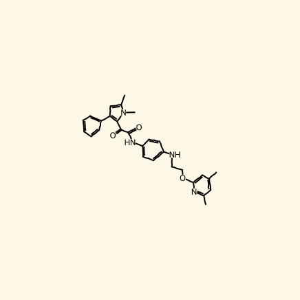 Cc1cc(C)nc(OCCNc2ccc(NC(=O)C(=O)c3c(-c4ccccc4)cc(C)n3C)cc2)c1